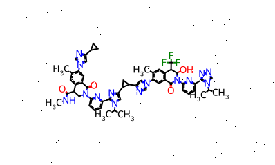 CNC(=O)C1CN(c2cccc(-c3nc(C4CC4c4cn(-c5cc6c(cc5C)C(C(F)(F)F)C(O)N(c5cccc(-c7nncn7C(C)C)n5)C6=O)cn4)cn3C(C)C)n2)C(=O)c2cc(-n3cnc(C4CC4)c3)c(C)cc21